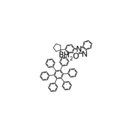 BC1(c2ccc3c(oc4nc5ccccc5n43)c2-c2ccc(-c3c(-c4ccccc4)c(-c4ccccc4)c(-c4ccccc4)c(-c4ccccc4)c3-c3ccccc3)cc2)CCCC1